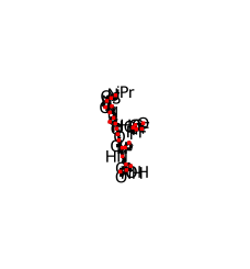 CC(C)c1nc(C(=O)N2CCOC3(CCN(Cc4cccc(COCCOCCC(=O)N(CCNCCc5ccc(O)c6c5OCC(=O)N6)C5CCCCC5)c4)CC3)C2)cs1.O=C(O)C(F)(F)F.O=C(O)C(F)(F)F